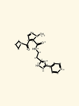 Cn1ncc(C(=O)N2CCC2)c1C(=O)NCCc1nc(-c2ccncc2)n[nH]1